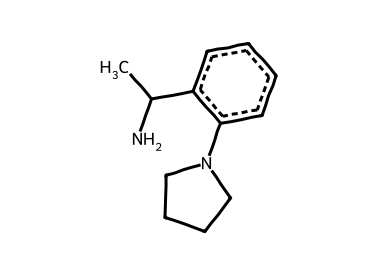 CC(N)c1ccccc1N1CCCC1